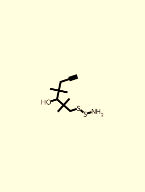 C#CCC(C)(C)C(O)C(C)(C)CSSN